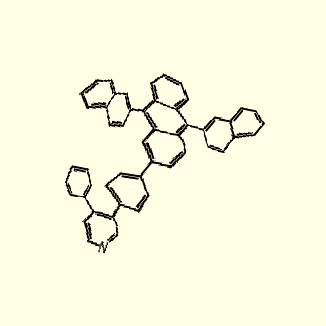 c1ccc(-c2ccncc2-c2ccc(-c3ccc4c(-c5ccc6ccccc6c5)c5ccccc5c(-c5ccc6ccccc6c5)c4c3)cc2)cc1